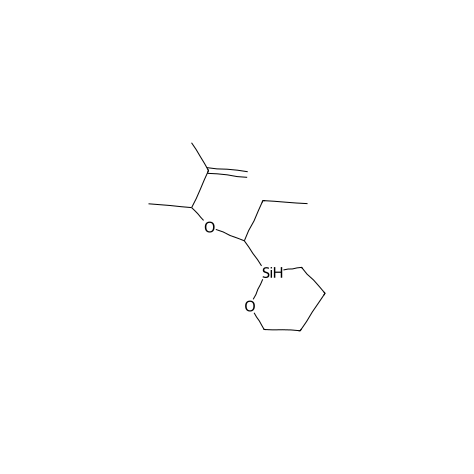 C=C(C)C(C)OC(CC)[SiH]1CCCCO1